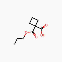 CCCOC(=O)C1(C(=O)O)CCC1